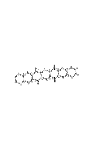 c1ccc2cc3[nH]c4cc5[nH]c6cc7ccccc7cc6[nH]c5cc4[nH]c3cc2c1